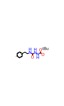 CC(C)(C)OC(=O)NNC(=O)NCCc1cc[c]cc1